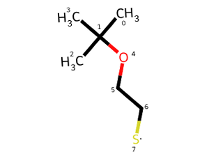 CC(C)(C)OCC[S]